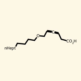 CCCCCCCCCCCOCC=C=CCC(=O)O